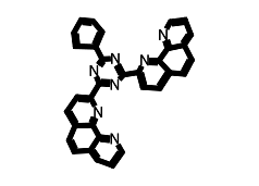 c1ccc(-c2nc(-c3ccc4ccc5cccnc5c4n3)nc(-c3ccc4ccc5cccnc5c4n3)n2)cc1